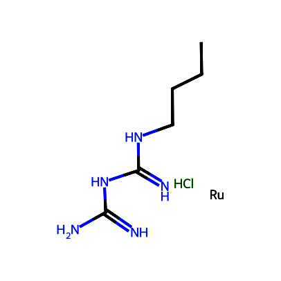 CCCCNC(=N)NC(=N)N.Cl.[Ru]